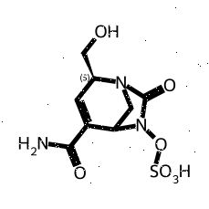 NC(=O)C1=C[C@@H](CO)N2CC1N(OS(=O)(=O)O)C2=O